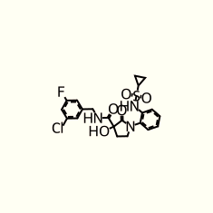 O=C(NCc1cc(F)cc(Cl)c1)C1(O)CCN(c2ccccc2NS(=O)(=O)C2CC2)C1=O